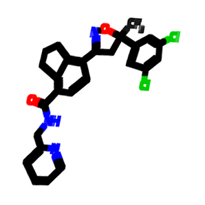 O=C(NCc1ccccn1)c1ccc(C2=NOC(c3cc(Cl)cc(Cl)c3)(C(F)(F)F)C2)c2c1CCC2